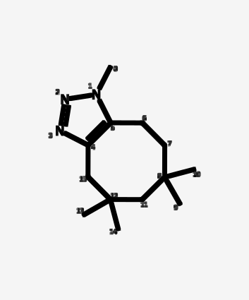 Cn1nnc2c1CCC(C)(C)CC(C)(C)C2